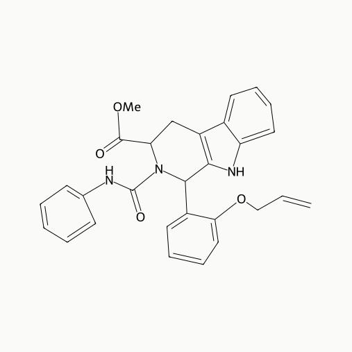 C=CCOc1ccccc1C1c2[nH]c3ccccc3c2CC(C(=O)OC)N1C(=O)Nc1ccccc1